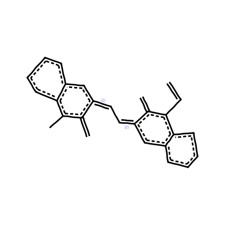 C=Cc1c(=C)/c(=C\C=c2\cc3ccccc3c(C)c2=C)cc2ccccc12